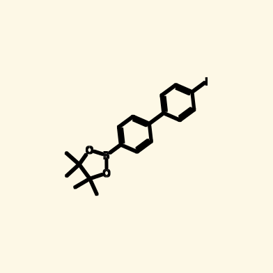 CC1(C)OB(c2ccc(-c3ccc(I)cc3)cc2)OC1(C)C